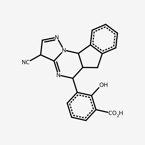 N#CC1C=NN2C1=NC(c1cccc(C(=O)O)c1O)C1Cc3ccccc3C12